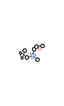 c1ccc(-c2nc(-c3ccc4ccc5c6ccccc6oc5c4c3)nc(-c3cccc4c3Sc3ccccc3C43c4ccccc4-c4ccccc43)n2)cc1